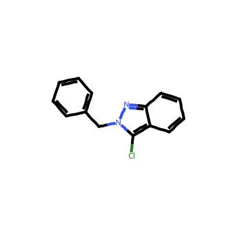 Clc1c2ccccc2nn1Cc1ccccc1